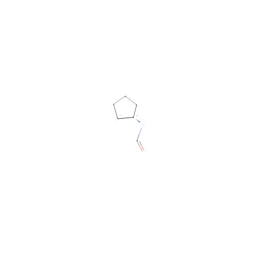 O=CN[C@@H]1CCC[C@H]1O